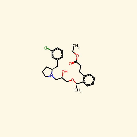 CCOC(=O)CCc1ccccc1[C@@H](C)OC[C@H](O)CN1CCC[C@H]1Cc1cccc(Cl)c1